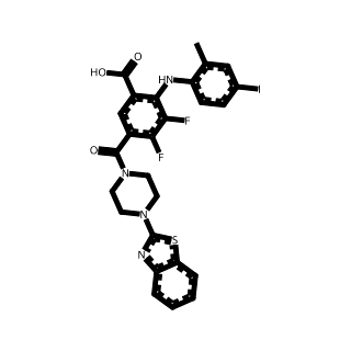 Cc1cc(I)ccc1Nc1c(C(=O)O)cc(C(=O)N2CCN(c3nc4ccccc4s3)CC2)c(F)c1F